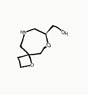 OC[C@@H]1CNCC2(CCO2)CO1